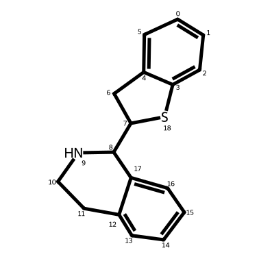 c1ccc2c(c1)CC(C1NCCc3ccccc31)S2